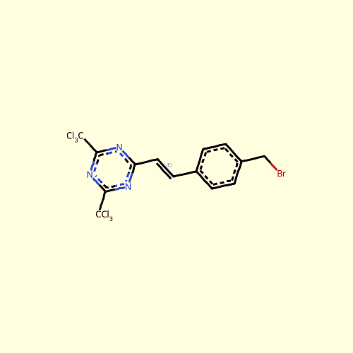 ClC(Cl)(Cl)c1nc(/C=C/c2ccc(CBr)cc2)nc(C(Cl)(Cl)Cl)n1